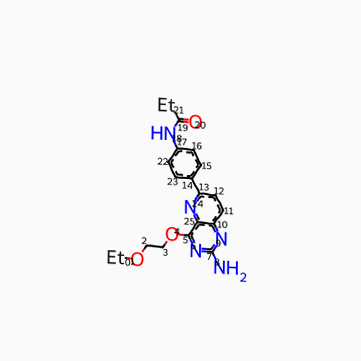 CCOCCOc1nc(N)nc2ccc(-c3ccc(NC(=O)CC)cc3)nc12